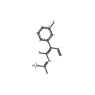 C=C/C(=C(C)\N=C(\C)N)c1cccc(C)c1